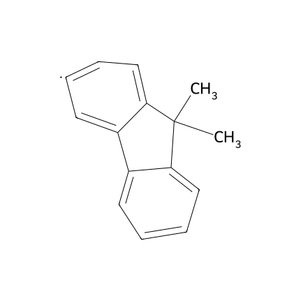 CC1(C)c2cc[c]cc2-c2ccccc21